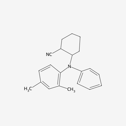 Cc1ccc(N(c2ccccc2)C2CCCCC2C#N)c(C)c1